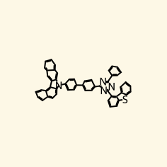 c1ccc(-c2nc(-c3ccc(-c4ccc(-n5c6cc7ccccc7cc6c6c7ccccc7ccc65)cc4)cc3)nc(-c3cccc4sc5ccccc5c34)n2)cc1